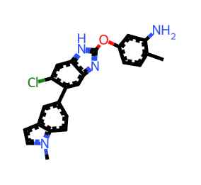 Cc1ccc(Oc2nc3cc(-c4ccc5c(ccn5C)c4)c(Cl)cc3[nH]2)cc1N